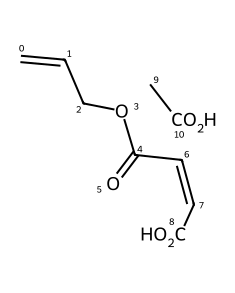 C=CCOC(=O)/C=C\C(=O)O.CC(=O)O